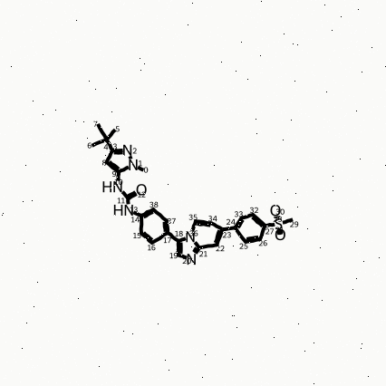 Cn1nc(C(C)(C)C)cc1NC(=O)Nc1ccc(-c2cnc3cc(-c4ccc(S(C)(=O)=O)cc4)ccn23)cc1